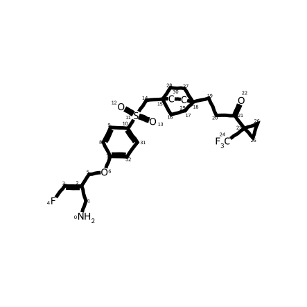 NC/C(=C\F)COc1ccc(S(=O)(=O)CC23CCC(CCC(=O)C4(C(F)(F)F)CC4)(CC2)CC3)cc1